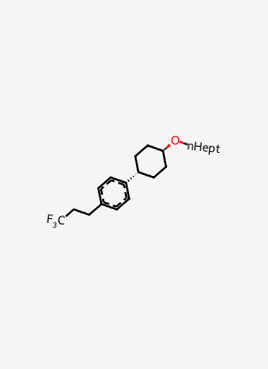 CCCCCCCO[C@H]1CC[C@H](c2ccc(CCC(F)(F)F)cc2)CC1